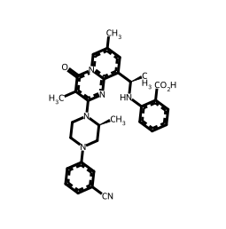 Cc1cc([C@@H](C)Nc2ccccc2C(=O)O)c2nc(N3CCN(c4cccc(C#N)c4)C[C@@H]3C)c(C)c(=O)n2c1